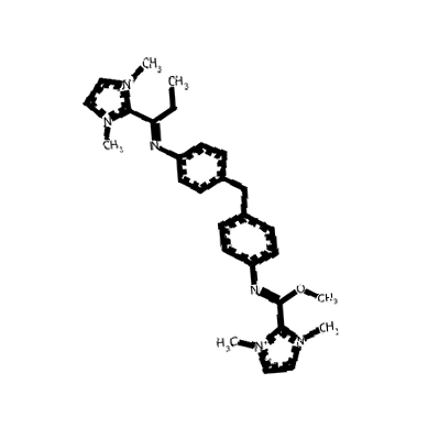 CC/C(=N\c1ccc(Cc2ccc(/N=C(\OC)c3n(C)cc[n+]3C)cc2)cc1)c1n(C)cc[n+]1C